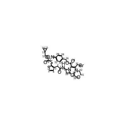 O=C(Cc1ccsc1SC(=O)OCC1CC1)NC1CC(=O)N1/C(C(=O)OCc1ccc([N+](=O)[O-])cc1)=C(/CBr)N1CCOCC1